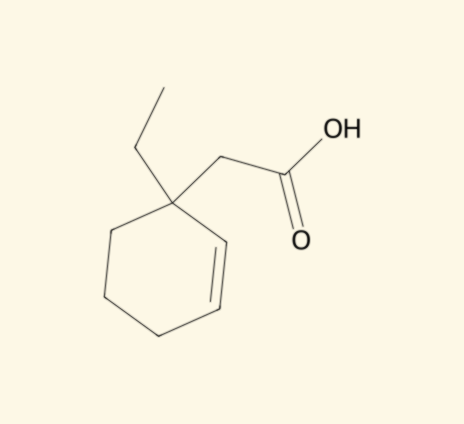 CCC1(CC(=O)O)C=CCCC1